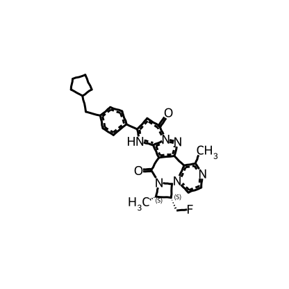 Cc1nccnc1-c1nn2c(=O)cc(-c3ccc(CC4CCCC4)cc3)[nH]c2c1C(=O)N1C[C@H](CF)[C@@H]1C